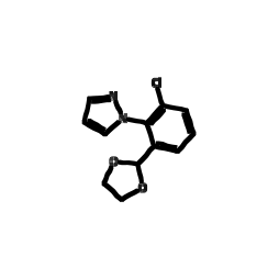 Clc1cccc(C2OCCO2)c1-n1cccn1